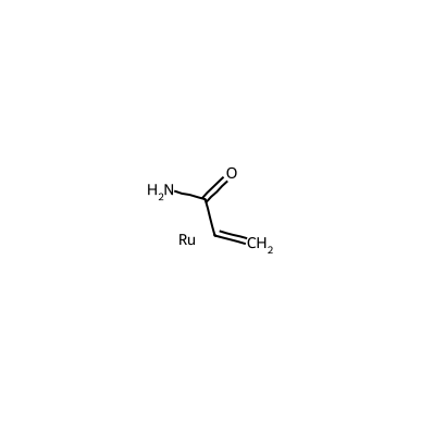 C=CC(N)=O.[Ru]